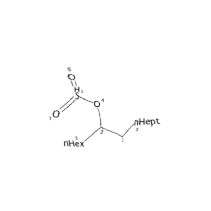 CCCCCCCCC(CCCCCC)O[SH](=O)=O